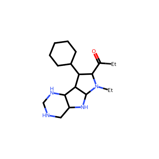 CCC(=O)C1C(C2CCCCC2)C2C3NCNCC3NC2N1CC